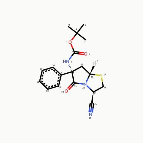 CC(C)(C)OC(=O)N[C@]1(c2ccccc2)C[C@@H]2SC[C@@H](C#N)N2C1=O